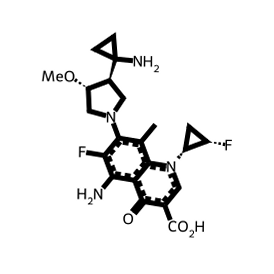 CO[C@H]1CN(c2c(F)c(N)c3c(=O)c(C(=O)O)cn([C@@H]4C[C@@H]4F)c3c2C)C[C@@H]1C1(N)CC1